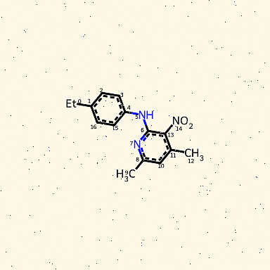 [CH2]Cc1ccc(Nc2nc(C)cc(C)c2[N+](=O)[O-])cc1